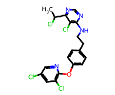 CC(Cl)c1ncnc(NCCc2ccc(Oc3ncc(Cl)cc3Cl)cc2)c1Cl